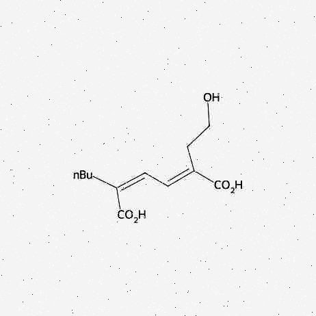 CCCCC(=CC=C(CCO)C(=O)O)C(=O)O